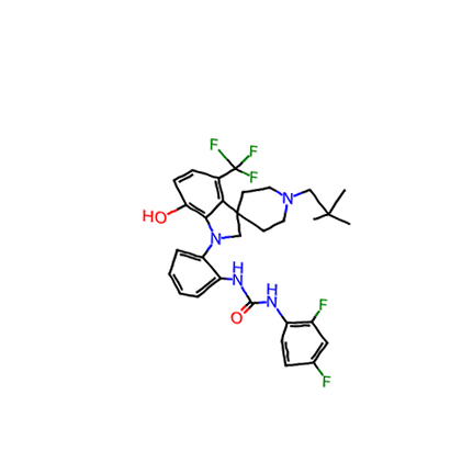 CC(C)(C)CN1CCC2(CC1)CN(c1ccccc1NC(=O)Nc1ccc(F)cc1F)c1c(O)ccc(C(F)(F)F)c12